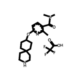 Cc1nc(OC2CCC3(CCNCC3)CC2)ccc1C(=O)N(C)C.O=C(O)C(F)(F)F